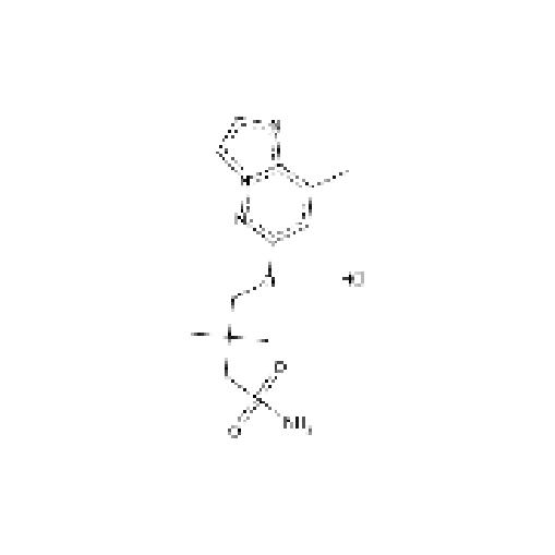 Cc1cc(OCC(C)(C)CS(N)(=O)=O)nn2ccnc12.Cl